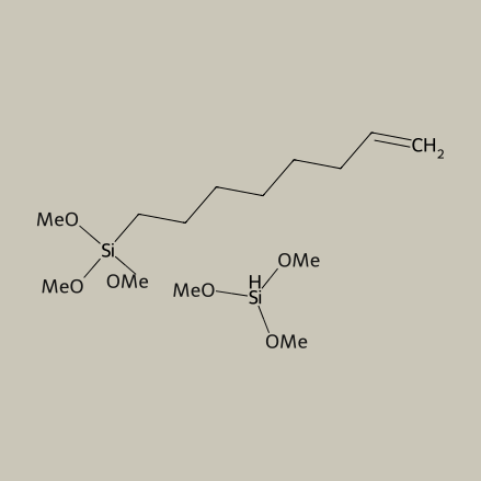 C=CCCCCCC[Si](OC)(OC)OC.CO[SiH](OC)OC